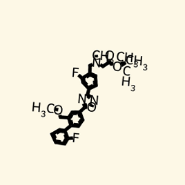 COCc1cc(-c2nc(-c3ccc(CN(C)CC(=O)OC(C)(C)C)c(F)c3)no2)ccc1-c1ccccc1F